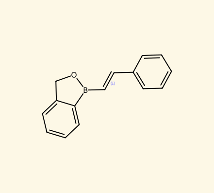 C(=C\c1ccccc1)/B1OCc2ccccc21